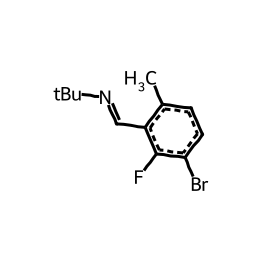 Cc1ccc(Br)c(F)c1/C=N/C(C)(C)C